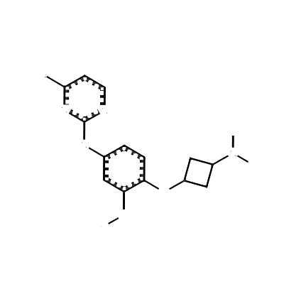 COc1cc(Nc2nccc(Cl)n2)ccc1OC1CC(N(C)C)C1